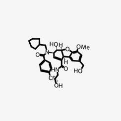 COc1cc(CO)cc2c1O[C@@H]1[C@@H](O)[C@H](N(CC3CCCCC3)C(=O)c3ccc(C(F)(F)F)cc3)C=C(C(=O)NCCO)[C@H]21